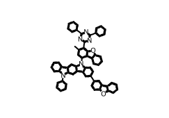 Cc1cc(-n2c3ccc(-c4ccc5oc6ccccc6c5c4)cc3c3cc4c(cc32)c2ccccc2n4-c2ccccc2)c2c(oc3ccccc32)c1-c1nc(-c2ccccc2)nc(-c2ccccc2)n1